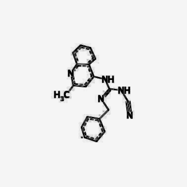 Cc1cc(NC(=NCc2cc[c]cc2)NC#N)c2ccccc2n1